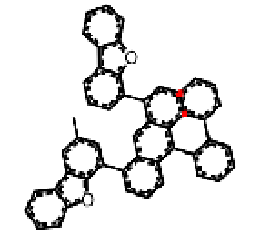 Cc1cc(-c2cccc3c(-c4ccccc4-c4ccccc4)c4cccc(-c5cccc6c5oc5ccccc56)c4cc23)c2oc3ccccc3c2c1